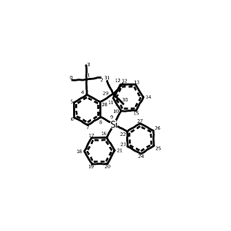 CC(C)(C)c1cccc([Si](c2ccccc2)(c2ccccc2)c2ccccc2)c1C(C)(C)C